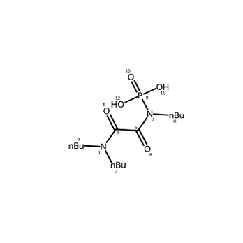 CCCCN(CCCC)C(=O)C(=O)N(CCCC)P(=O)(O)O